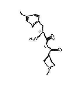 Cc1ccc(C[C@H](N)C(=O)OC(=O)C2CN(C)C2)cc1